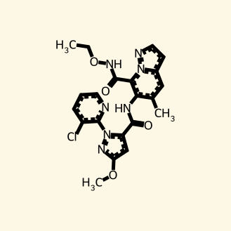 CCONC(=O)c1c(NC(=O)c2cc(OC)nn2-c2ncccc2Cl)c(C)cc2ccnn12